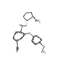 BN1CCC[C@H]1CNc1ccc(C#N)cc1Oc1ccc(OC)cc1